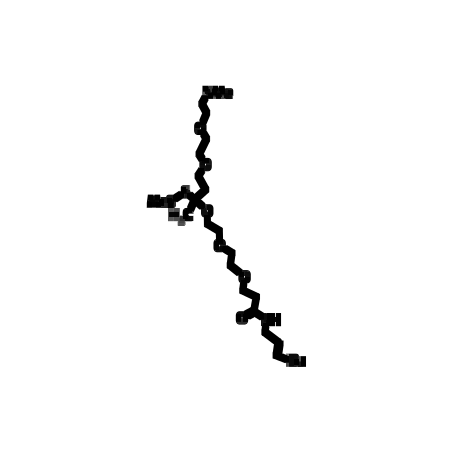 CCC(C)/C=C/CNC(=O)CCOCCOCCOC(C)(CCOCCOCCNC)SSC